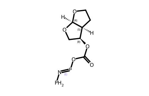 O=C(O/P=N/P)O[C@H]1CO[C@H]2OCC[C@H]21